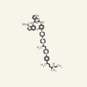 C=CNC(=C)CCC(C)c1ccc(N2CCC(CC(=C)N3CCN(C4CCN(c5ccc(Nc6nc(Nc7cccc8c7N(SC)CC8)c7cc[nH]c7n6)cc5F)CC4)CC3)CC2)cc1